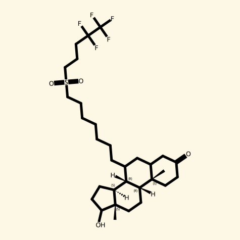 C[C@]12CCC(=O)CC1CC(CCCCCCCS(=O)(=O)CCCC(F)(F)C(F)(F)F)[C@@H]1[C@H]2CC[C@]2(C)C(O)CC[C@@H]12